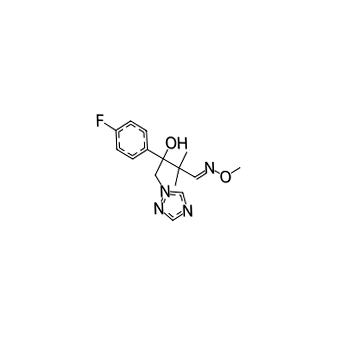 CON=CC(C)(C)C(O)(Cn1cncn1)c1ccc(F)cc1